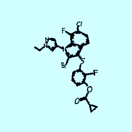 CCn1cc(-n2c(Br)c(Sc3cccc(OC(=O)C4CC4)c3F)c3ccc(Cl)c(F)c32)cn1